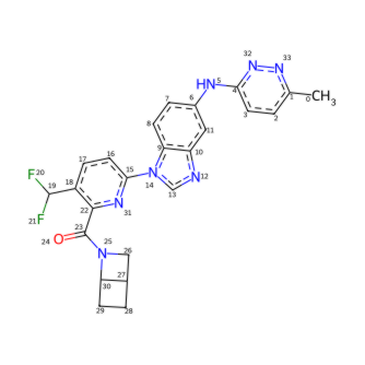 Cc1ccc(Nc2ccc3c(c2)ncn3-c2ccc(C(F)F)c(C(=O)N3CC4CCC43)n2)nn1